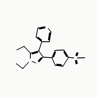 CCn1nc(-c2ccc(S(C)(=O)=O)cc2)c(-c2ccncc2)c1CF